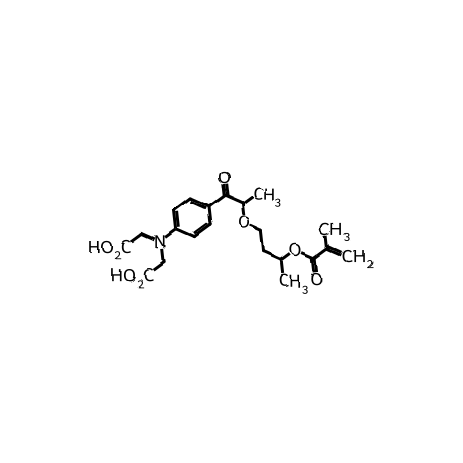 C=C(C)C(=O)OC(C)CCOC(C)C(=O)c1ccc(N(CC(=O)O)CC(=O)O)cc1